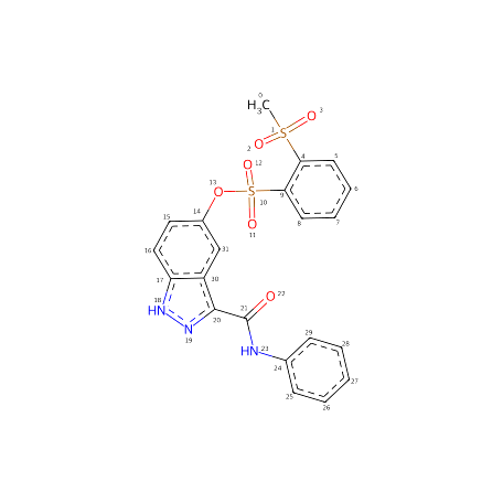 CS(=O)(=O)c1ccccc1S(=O)(=O)Oc1ccc2[nH]nc(C(=O)Nc3ccccc3)c2c1